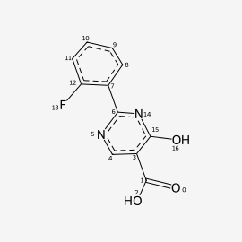 O=C(O)c1cnc(-c2ccccc2F)nc1O